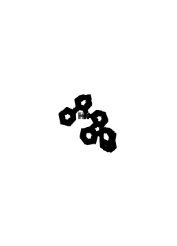 c1ccc(-c2ccccc2Nc2cccc3c2-c2ccccc2C32C3CC4CC(C3)CC2C4)cc1